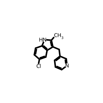 Cc1[nH]c2ccc(Cl)cc2c1Cc1cccnc1